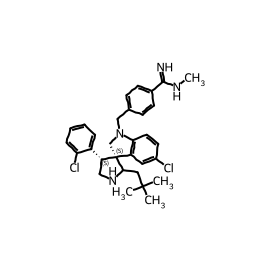 CNC(=N)c1ccc(CN2C[C@]3(c4cc(Cl)ccc42)C(CC(C)(C)C)NC[C@@H]3c2ccccc2Cl)cc1